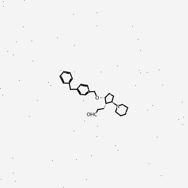 O=CCC[C@H]1[C@H](N2CCCCC2)CC[C@H]1OCc1ccc(Cc2ccccc2)cc1